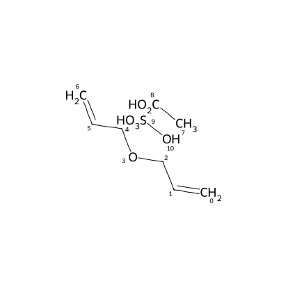 C=CCOCC=C.CC(=O)O.O=S(=O)(O)O